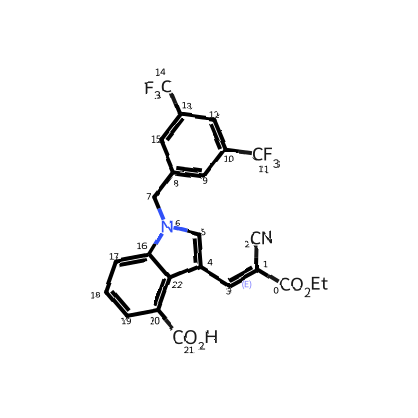 CCOC(=O)/C(C#N)=C/c1cn(Cc2cc(C(F)(F)F)cc(C(F)(F)F)c2)c2cccc(C(=O)O)c12